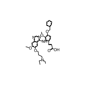 CCN(CC)CCCOc1cc2c(Nc3c(/C=C/C(=O)O)ccc(OCc4ccccc4)c3OC)ncnc2cc1OC